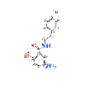 Nc1ccc(Br)c(C(=O)NCCc2ccc(F)cc2)c1